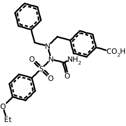 CCOc1ccc(S(=O)(=O)N(C(N)=O)N(Cc2ccccc2)Cc2ccc(C(=O)O)cc2)cc1